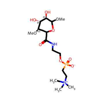 COC1OC(C(=O)NCCOP(=O)([O-])CC[N+](C)(C)C)[C@@H](OC)[C@H](O)[C@H]1O